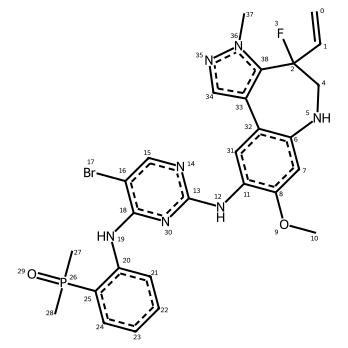 C=CC1(F)CNc2cc(OC)c(Nc3ncc(Br)c(Nc4ccccc4P(C)(C)=O)n3)cc2-c2cnn(C)c21